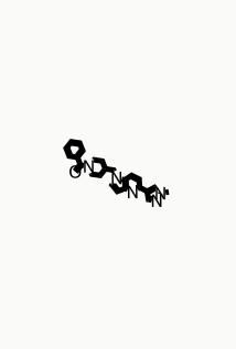 Cn1cc(-c2ccc3c(ccn3CC3CCN(C(=O)c4ccccc4)CC3)n2)cn1